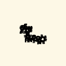 O=C(Cc1nc2ccccc2o1)NC1CCN(c2cncc(C(F)(F)F)c2)C1